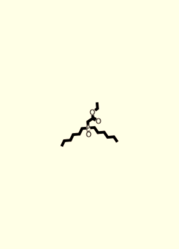 CCCCCCP(=O)(CCCCCC)CC(=O)OCC